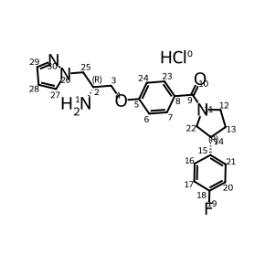 Cl.N[C@@H](COc1ccc(C(=O)N2CC[C@H](c3ccc(F)cc3)C2)cc1)Cn1cccn1